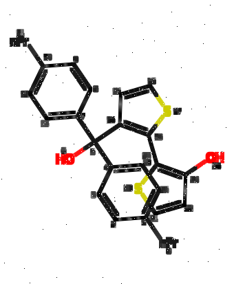 CCCc1ccc(C(O)(c2ccc(CCC)cc2)c2ccsc2-c2sccc2O)cc1